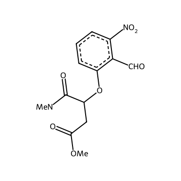 CNC(=O)C(CC(=O)OC)Oc1cccc([N+](=O)[O-])c1C=O